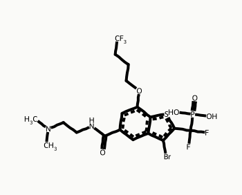 CN(C)CCNC(=O)c1cc(OCCCC(F)(F)F)c2sc(C(F)(F)P(=O)(O)O)c(Br)c2c1